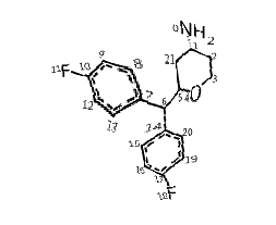 N[C@@H]1CCOC(C(c2ccc(F)cc2)c2ccc(F)cc2)C1